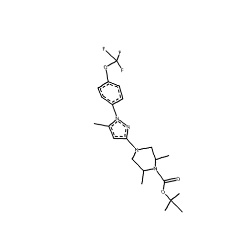 Cc1cc(N2CC(C)N(C(=O)OC(C)(C)C)C(C)C2)nn1-c1ccc(OC(F)(F)F)cc1